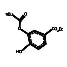 CCC[CH]C(=O)Oc1cc(C(=O)OCC)ccc1O